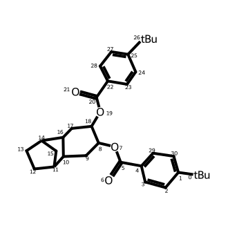 CC(C)(C)c1ccc(C(=O)OC2CC3C4CCC(C4)C3CC2OC(=O)c2ccc(C(C)(C)C)cc2)cc1